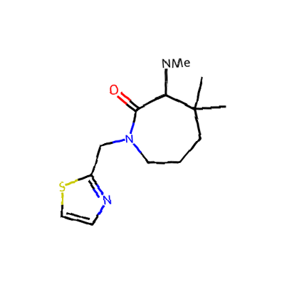 CNC1C(=O)N(Cc2nccs2)CCCC1(C)C